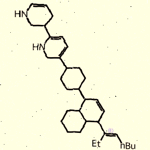 CCCC/C=C(\CC)C1C=CC(C2CCC(C3=CC=C(C4CC=CNC4)NC3)CC2)C2CCCCC12